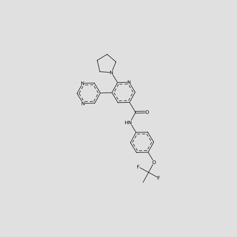 CC(F)(F)Oc1ccc(NC(=O)c2cnc(N3CCCC3)c(-c3cncnc3)c2)cc1